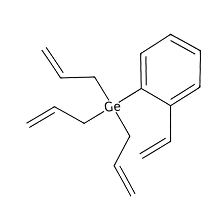 C=C[CH2][Ge]([CH2]C=C)([CH2]C=C)[c]1ccccc1C=C